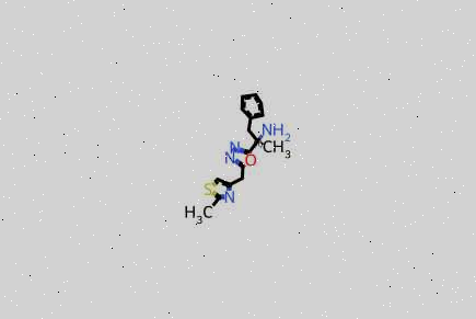 Cc1nc(Cc2nnc([C@](C)(N)Cc3ccccc3)o2)cs1